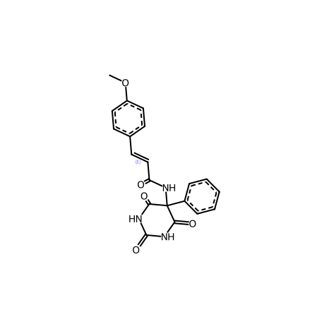 COc1ccc(/C=C/C(=O)NC2(c3ccccc3)C(=O)NC(=O)NC2=O)cc1